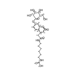 O=C(O)NCCCCCCNC(=O)Cc1cc(=O)oc2cc(O[C@@H]3O[C@H](CO)[C@H](O)[C@H](O)[C@H]3O)ccc12